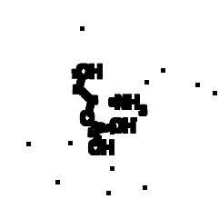 N.OCCOP(O)O